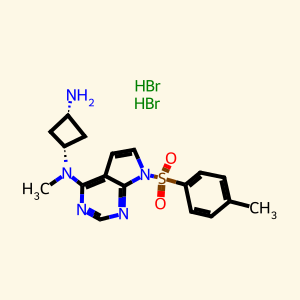 Br.Br.Cc1ccc(S(=O)(=O)n2ccc3c(N(C)[C@H]4C[C@@H](N)C4)ncnc32)cc1